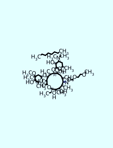 CCCCCCCC.CC[C@H]1OC(=O)[C@H](C)[C@@H](O[C@H]2C[C@@](C)(OC)[C@@H](O)[C@H](C)O2)[C@H](C)[C@@H](O[C@@H]2O[C@H](C)C[C@H](N(C)C)[C@H]2O)[C@](C)(O)C[C@@H](C)/C(=N\OCOCCOC)[C@H](C)[C@@H](O)[C@]1(C)O